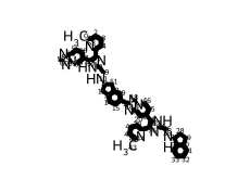 Cc1cccc(-c2nc(CNC3Cc4ccc(-c5nc6cc(-c7[nH]c(CN[C@@H]8CCc9ccccc98)nc7-c7cccc(C)n7)ccn6n5)cc4C3)[nH]c2-c2ccc3ncnn3c2)n1